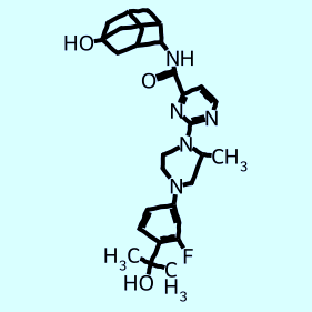 CC1CN(c2ccc(C(C)(C)O)c(F)c2)CCN1c1nccc(C(=O)NC2C3CC4CC2CC(O)(C4)C3)n1